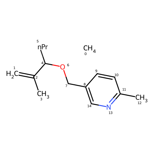 C.C=C(C)C(CCC)OCc1ccc(C)nc1